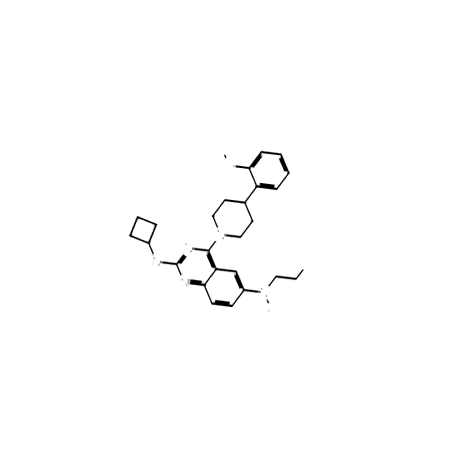 COc1ccccc1C1CCN(c2nc(NC3CCC3)nc3ccc(N(C)CCO)cc23)CC1